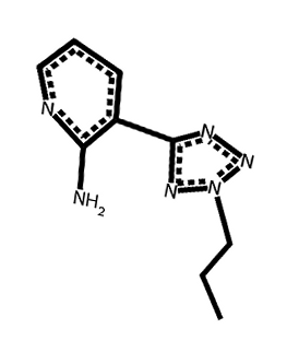 CCCn1nnc(-c2cccnc2N)n1